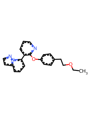 CCOCCc1ccc(Oc2ncccc2-c2cccc3ccnn23)cc1